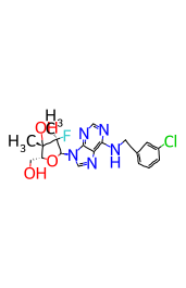 C[C@]1(O)[C@@H](CO)O[C@H](n2cnc3c(NCc4cccc(Cl)c4)ncnc32)[C@]1(C)F